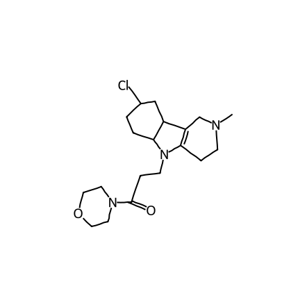 CN1CCC2=C(C1)C1CC(Cl)CCC1N2CCC(=O)N1CCOCC1